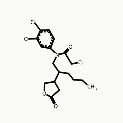 CCCCC(CN(C(=O)CCl)c1ccc(Cl)c(Cl)c1)C1COC(=O)C1